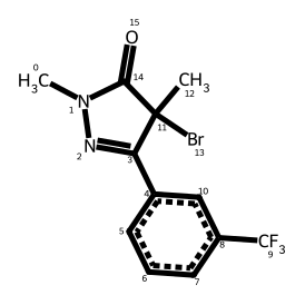 CN1N=C(c2cccc(C(F)(F)F)c2)C(C)(Br)C1=O